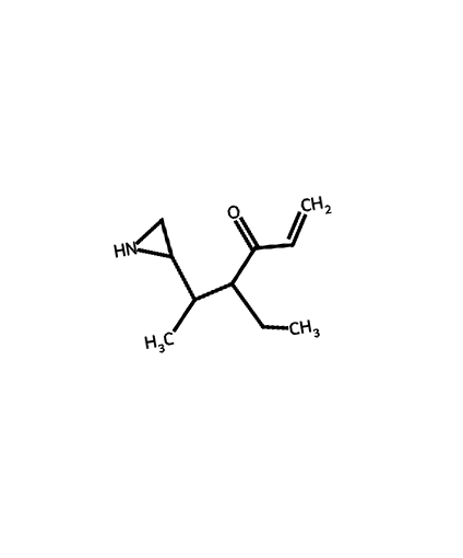 C=CC(=O)C(CC)C(C)C1CN1